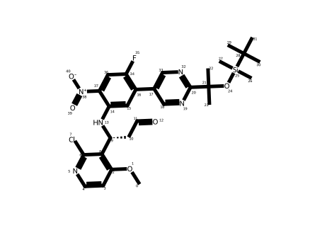 COc1ccnc(Cl)c1[C@@H](CC=O)Nc1cc(-c2cnc(C(C)(C)O[Si](C)(C)C(C)(C)C)nc2)c(F)cc1[N+](=O)[O-]